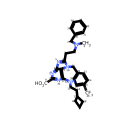 CN(CCc1nc2nc(C(=O)O)nc(NCCC3CCC3)c2n1Cc1ccc(C(F)(F)F)cc1)Cc1ccccc1